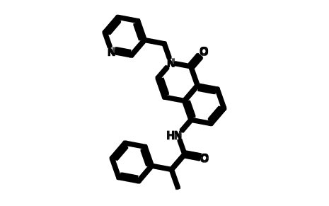 CC(C(=O)Nc1cccc2c(=O)n(Cc3cccnc3)ccc12)c1ccccc1